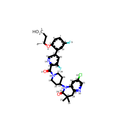 C[C@H](CC(=O)O)Oc1ccc(F)cc1-c1cnc(C(=O)N2CCC(N3C(=O)C(C)(C)Cc4ncc(Cl)cc43)CC2)c(F)c1